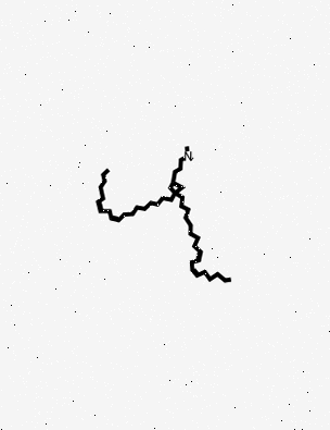 CCCCC/C=C\C/C=C\CCCCCCCCC1(CCCCCCCC/C=C\C/C=C\CCCCC)CC(CCCN(C)C)C1